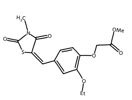 CCOc1cc(C=C2SC(=O)N(C)C2=O)ccc1OCC(=O)OC